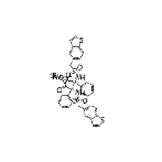 CC(C)(C)OC(=O)[C@](NS(=O)(=O)Cc1ccc2sccc2c1)(c1ccccc1)[C@@](NS(=O)(=O)Cc1ccc2sccc2c1)(C(=O)O)c1ccccc1